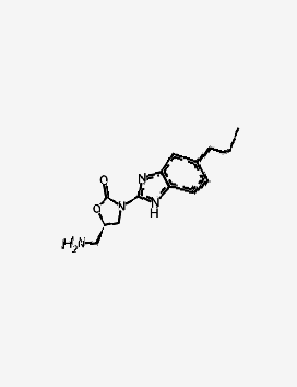 CCCc1ccc2[nH]c(N3C[C@@H](CN)OC3=O)nc2c1